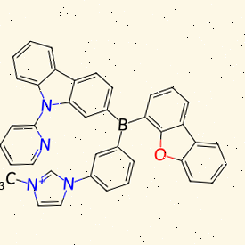 C[n+]1ccn(-c2cccc(B(c3ccc4c5ccccc5n(-c5ccccn5)c4c3)c3cccc4c3oc3ccccc34)c2)c1